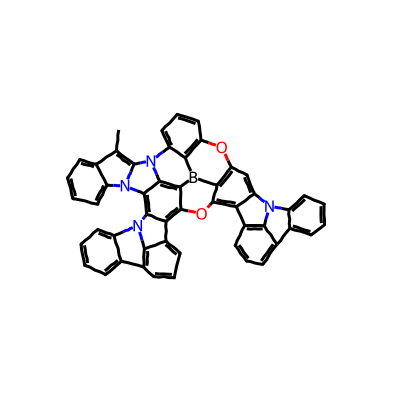 Cc1c2ccccc2n2c3c4c5c(c6c7cccc8c9ccccc9n(c87)c63)Oc3c6c(cc7c3c3cccc8c9ccccc9n7c83)Oc3cccc(c3B65)-n4c12